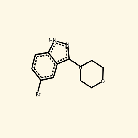 Brc1ccc2[nH]nc(N3CCOCC3)c2c1